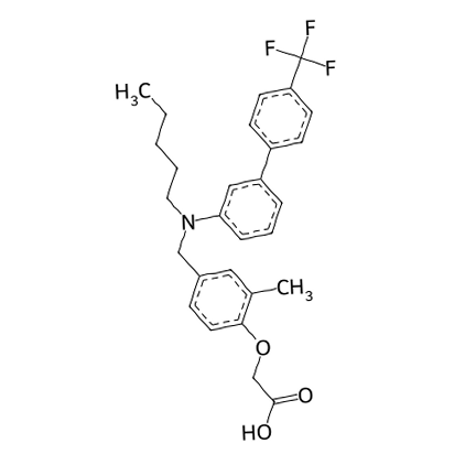 CCCCCN(Cc1ccc(OCC(=O)O)c(C)c1)c1cccc(-c2ccc(C(F)(F)F)cc2)c1